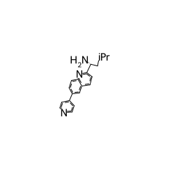 CC(C)C[C@@H](N)c1ccc2cc(-c3ccncc3)ccc2n1